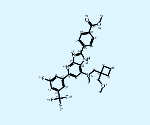 COCC1(CN(C)c2cc(-c3cc(F)cc(C(F)(F)F)c3)nc3nc(-c4ccc(C(=O)OC)cc4)[nH]c23)CCC1